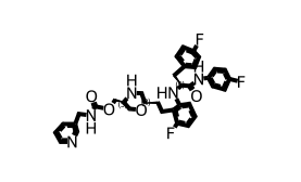 O=C(NCc1cccnc1)OC[C@@H]1CO[C@H](CCc2c(F)cccc2N[C@@H](Cc2ccc(F)cc2)C(=O)Nc2ccc(F)cc2)CN1